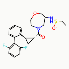 CC[S+]([O-])NC1COCCN(C(=O)[C@@H]2C[C@H]2c2ccccc2-c2c(F)cccc2F)C1